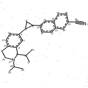 CC(C)C1c2cc(C3CC3c3ccc4cc(C#N)ccc4c3)ccc2CCN1C(C)C